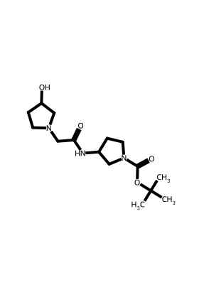 CC(C)(C)OC(=O)N1CCC(NC(=O)CN2CCC(O)C2)C1